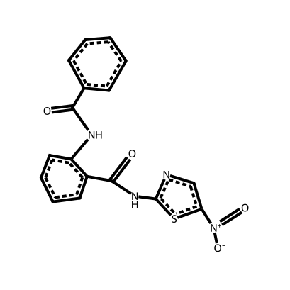 O=C(Nc1ccccc1C(=O)Nc1ncc([N+](=O)[O-])s1)c1ccccc1